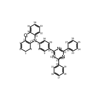 C1=CC2=C(CC1)N(c1ccc(-c3nc(-c4ccccc4)nc(-c4ccccc4)n3)cc1)c1ccccc1O2